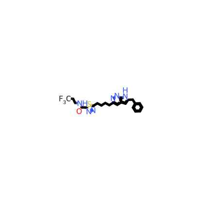 O=C(NCCC(F)(F)F)c1nnc(CCCCc2cc3cc(Cc4ccccc4)[nH]c3nn2)s1